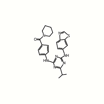 CC(C)c1nc(Nc2ccc(C(=O)N3CCCCC3)cc2)nc(Nc2ccc3ncsc3c2)n1